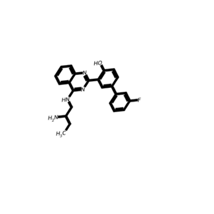 CCC(N)CNc1nc(-c2cc(-c3cccc(F)c3)ccc2O)nc2ccccc12